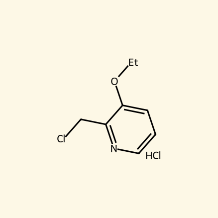 CCOc1cccnc1CCl.Cl